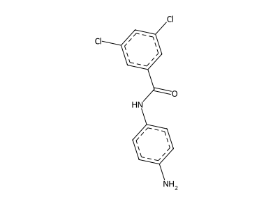 Nc1ccc(NC(=O)c2cc(Cl)cc(Cl)c2)cc1